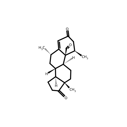 C[C@@H]1CC(=O)C=C2[C@@H](C)C[C@@H]3[C@H](CC[C@]4(C)C(=O)CC[C@@H]34)[C@]21C=O